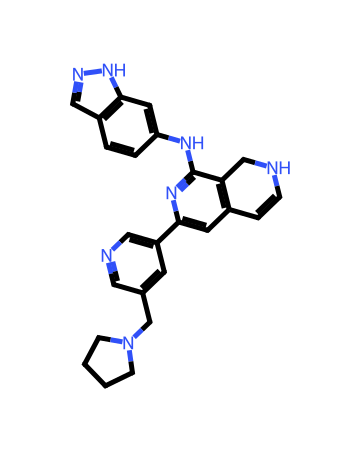 C1=Cc2cc(-c3cncc(CN4CCCC4)c3)nc(Nc3ccc4cn[nH]c4c3)c2CN1